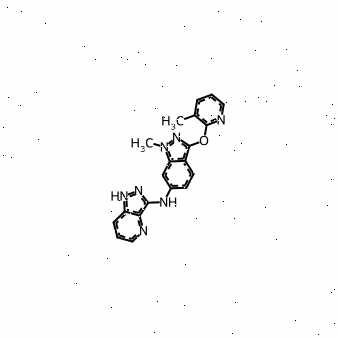 Cc1cccnc1Oc1nn(C)c2cc(Nc3n[nH]c4cccnc34)ccc12